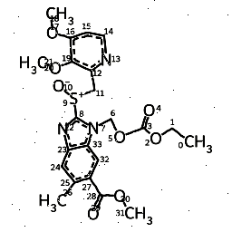 CCOC(=O)OCn1c([S+]([O-])Cc2nccc(OC)c2OC)nc2cc(C)c(C(=O)OC)cc21